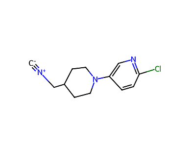 [C-]#[N+]CC1CCN(c2ccc(Cl)nc2)CC1